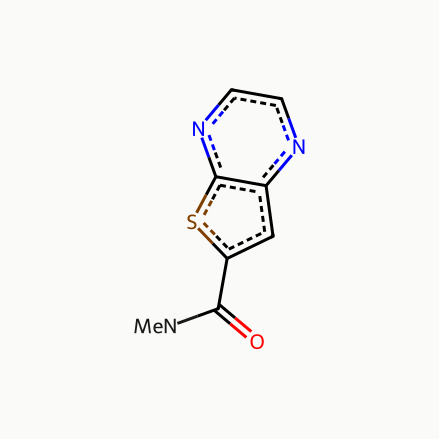 CNC(=O)c1cc2nccnc2s1